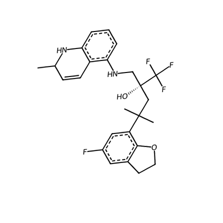 CC1C=Cc2c(NC[C@](O)(CC(C)(C)c3cc(F)cc4c3OCC4)C(F)(F)F)cccc2N1